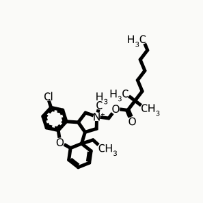 CCCCCCC(C)(C)C(=O)OC[N+]1(C)CC2c3cc(Cl)ccc3OC3C=CC=CC3(CC)C2C1